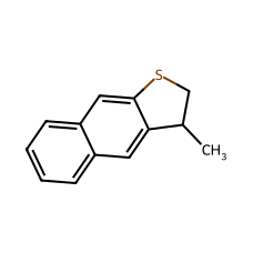 CC1CSc2cc3ccccc3cc21